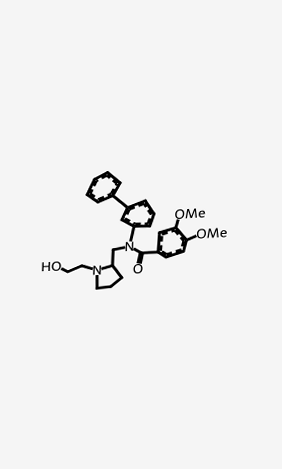 COc1ccc(C(=O)N(CC2CCCN2CCO)c2cccc(-c3ccccc3)c2)cc1OC